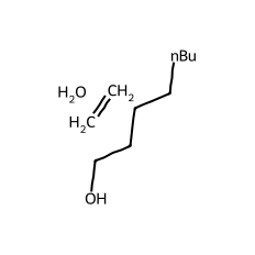 C=C.CCCCCCCCO.O